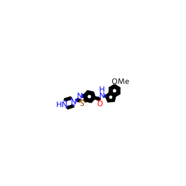 COc1ccc2c(c1)C(NC(=O)c1ccc3nc(N4CCNCC4)sc3c1)CC2